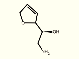 NC[C@H](O)C1C=CCO1